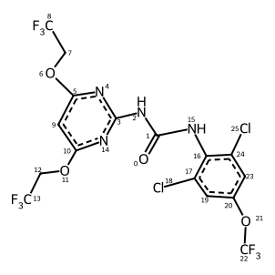 O=C(Nc1nc(OCC(F)(F)F)cc(OCC(F)(F)F)n1)Nc1c(Cl)cc(OC(F)(F)F)cc1Cl